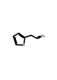 P=CCc1cccs1